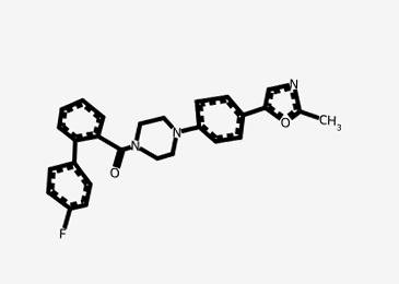 Cc1ncc(-c2ccc(N3CCN(C(=O)c4ccccc4-c4ccc(F)cc4)CC3)cc2)o1